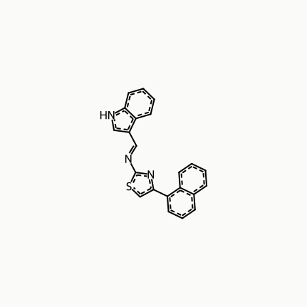 C(=Nc1nc(-c2cccc3ccccc23)cs1)c1c[nH]c2ccccc12